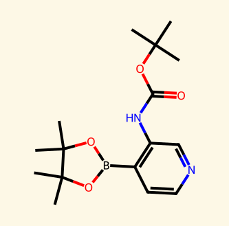 CC(C)(C)OC(=O)Nc1cnccc1B1OC(C)(C)C(C)(C)O1